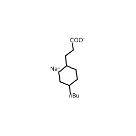 CCCCC1CCC(CCC(=O)[O-])CC1.[Na+]